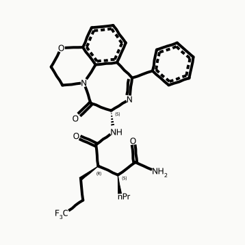 CCC[C@H](C(N)=O)[C@@H](CCC(F)(F)F)C(=O)N[C@H]1N=C(c2ccccc2)c2cccc3c2N(CCO3)C1=O